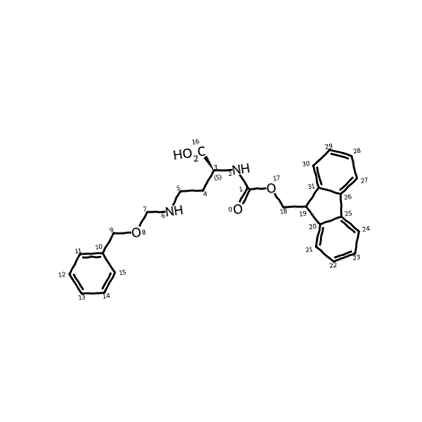 O=C(N[C@@H](CCNCOCc1ccccc1)C(=O)O)OCC1c2ccccc2-c2ccccc21